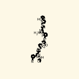 COC(=O)[C@H]1CC([N+]#Cc2cccc(-c3cc(-c4cn(Cc5cccc(C6(O)CCCC6)n5)nn4)nc(N)n3)c2F)CN1c1cccc(Cn2cc(-c3cc(-c4cccc(C#N)c4)nc(NC4CCOC4)n3)nn2)n1